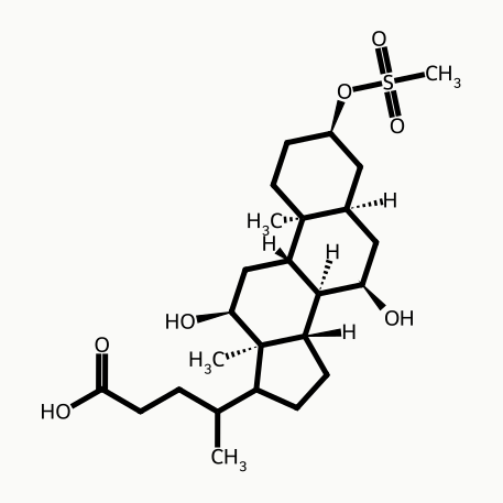 CC(CCC(=O)O)C1CC[C@H]2[C@@H]3[C@H](O)C[C@@H]4C[C@H](OS(C)(=O)=O)CC[C@]4(C)[C@H]3C[C@H](O)[C@]12C